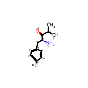 CC(C)C(=O)[C@@H](N)Cc1ccc(Cl)cc1